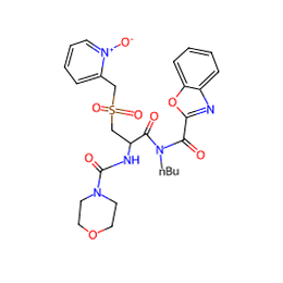 CCCCN(C(=O)c1nc2ccccc2o1)C(=O)C(CS(=O)(=O)Cc1cccc[n+]1[O-])NC(=O)N1CCOCC1